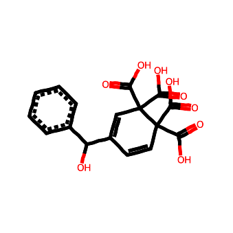 O=C(O)C1(C(=O)O)C=CC(C(O)c2ccccc2)=CC1(C(=O)O)C(=O)O